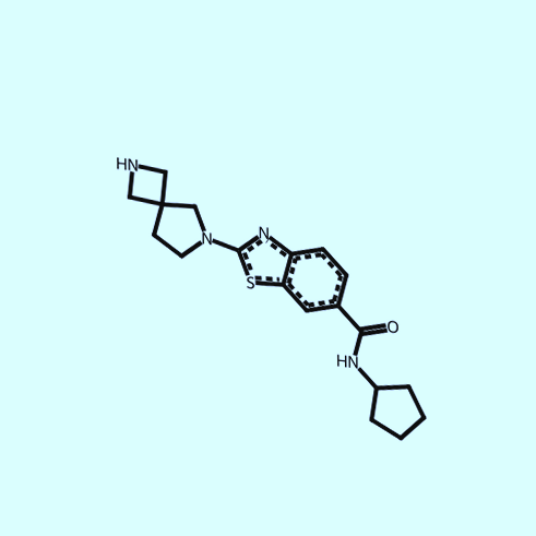 O=C(NC1CCCC1)c1ccc2nc(N3CCC4(CNC4)C3)sc2c1